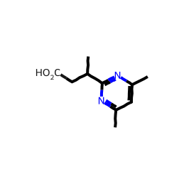 Cc1cc(C)nc(C(C)CC(=O)O)n1